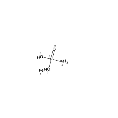 O=P(O)(O)[SiH3].[Fe]